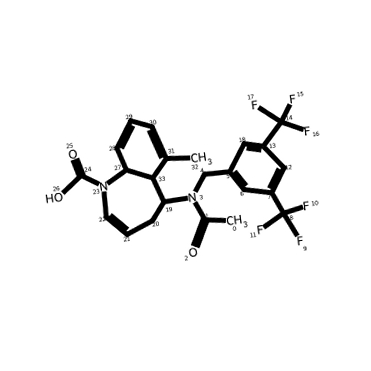 CC(=O)N(Cc1cc(C(F)(F)F)cc(C(F)(F)F)c1)C1CC=CN(C(=O)O)C2C=CC=C(C)C21